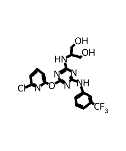 OCC(CO)Nc1nc(Nc2cccc(C(F)(F)F)c2)nc(Oc2cccc(Cl)n2)n1